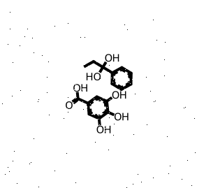 CCC(O)(O)c1ccccc1.O=C(O)c1cc(O)c(O)c(O)c1